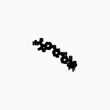 CNC(=O)c1c(C)oc2cc(Oc3ccnc(Nc4cccc(NS(=O)(=O)C(F)(F)F)c4)n3)ccc12